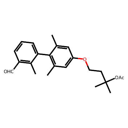 CC(=O)OC(C)(C)CCOc1cc(C)c(-c2cccc(C=O)c2C)c(C)c1